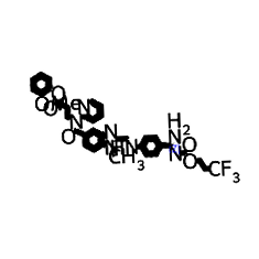 COc1ccccc1OC(=O)CCN(C(=O)c1ccc2c(c1)nc(CNc1ccc(/C(N)=N/C(=O)OCCC(F)(F)F)cc1)n2C)c1ccccn1